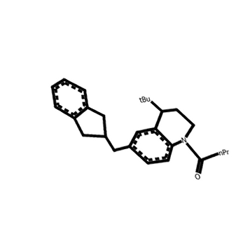 CCCC(=O)N1CCC(C(C)(C)C)c2cc(CC3Cc4ccccc4C3)ccc21